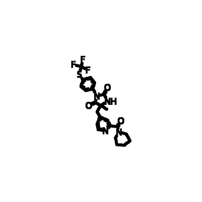 CC1(Cc2ccnc(C(=O)N3CCCCC3)c2)NC(=O)N(c2ccc(SC(F)(F)F)cc2)C1=O